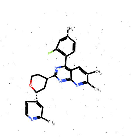 Cc1ccc(-c2nc([C@@H]3CCO[C@@H](c4ccnc(C)c4)C3)nc3nc(C)c(C)cc23)c(F)c1